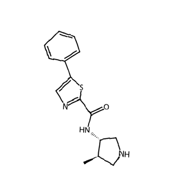 C[C@@H]1CNC[C@H]1NC(=O)c1ncc(-c2ccccc2)s1